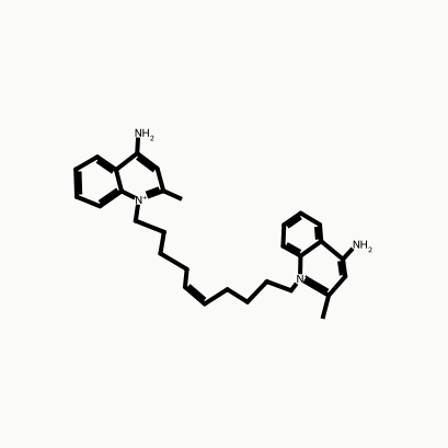 Cc1cc(N)c2ccccc2[n+]1CCCC/C=C\CCCC[n+]1c(C)cc(N)c2ccccc21